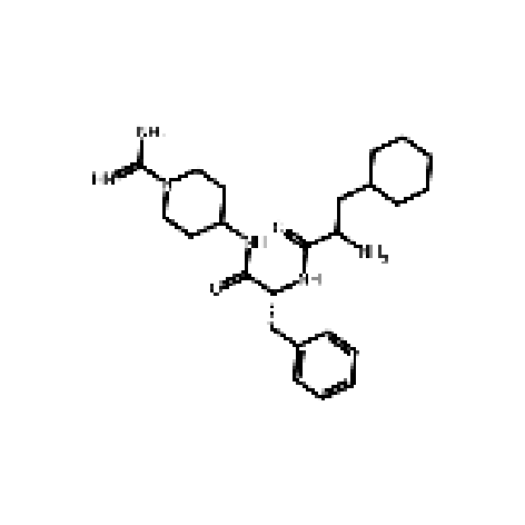 N=C(N)N1CCC(NC(=O)[C@@H](Cc2ccccc2)NC(=O)C(N)CC2CCCCC2)CC1